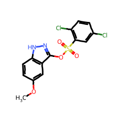 COc1ccc2[nH]nc(OS(=O)(=O)c3cc(Cl)ccc3Cl)c2c1